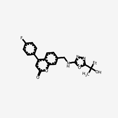 CCC(C)(O)c1nnc(NCc2ccc3c(-c4ccc(F)cc4)cc(=O)oc3c2)o1